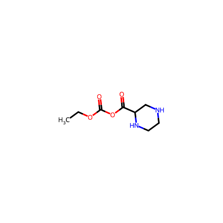 CCOC(=O)OC(=O)C1CNCCN1